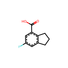 O=C(O)c1cc(F)cc2c1CCC2